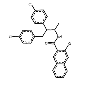 CC(NC(=O)c1cc2ccccc2cc1Cl)C(Cc1ccc(Cl)cc1)c1ccc(Cl)cc1